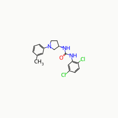 Cc1cccc(N2CC[C@@H](NC(=O)Nc3cc(Cl)ccc3Cl)C2)c1